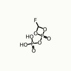 O=P(O)(O)OP1(=O)OC(F)O1